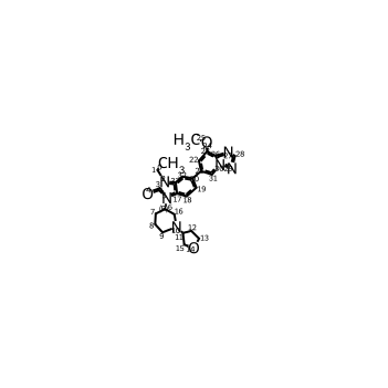 CCn1c(=O)n([C@@H]2CCCN(C3CCOC3)C2)c2ccc(-c3cc(OC)c4ncnn4c3)cc21